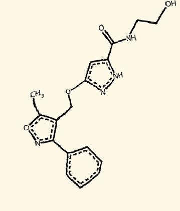 Cc1onc(-c2ccccc2)c1COc1cc(C(=O)NCCO)[nH]n1